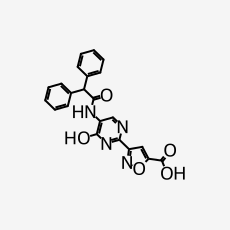 O=C(O)c1cc(-c2ncc(NC(=O)C(c3ccccc3)c3ccccc3)c(O)n2)no1